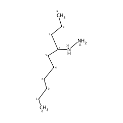 CCCCCCC(CCC)NN